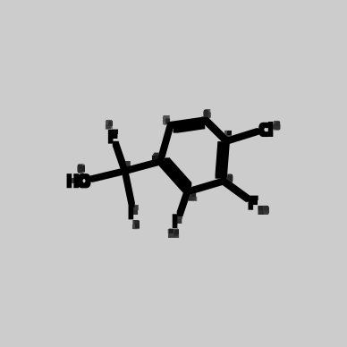 OC(F)(F)c1ccc(Cl)c(F)c1F